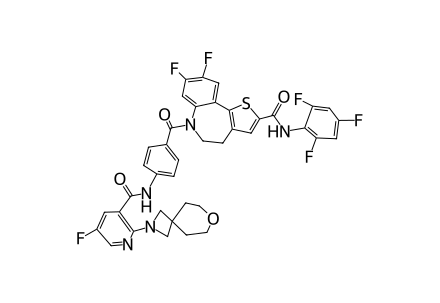 O=C(Nc1c(F)cc(F)cc1F)c1cc2c(s1)-c1cc(F)c(F)cc1N(C(=O)c1ccc(NC(=O)c3cc(F)cnc3N3CC4(CCOCC4)C3)cc1)CC2